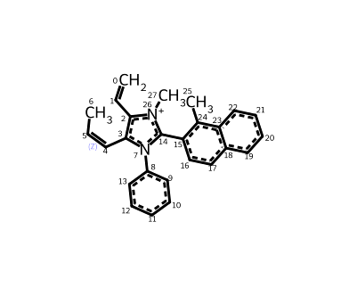 C=Cc1c(/C=C\C)n(-c2ccccc2)c(-c2ccc3ccccc3c2C)[n+]1C